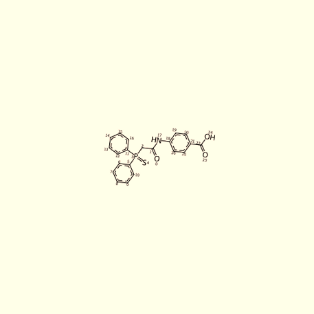 O=C(CP(=S)(c1ccccc1)c1ccccc1)Nc1ccc(C(=O)O)cc1